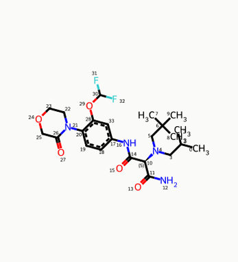 CC(C)CN(CC(C)(C)C)[C@@H](C(N)=O)C(=O)Nc1ccc(N2CCOCC2=O)c(OC(F)F)c1